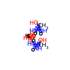 CN(CCO)c1nc(Nc2ccccc2)nc(Nc2ccc(C=Cc3ccc(Nc4nc(Nc5ccccc5)nc(N(C)CCO)n4)cc3S(=O)(=O)O)c(S(=O)(=O)O)c2)n1.[K].[K]